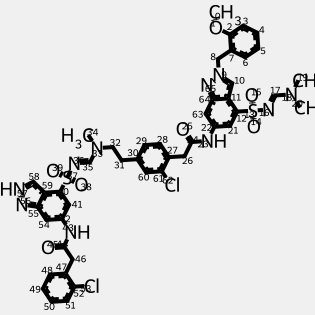 COc1ccccc1Cn1cc2c(S(=O)(=O)/N=C/N(C)C)cc(NC(=O)Cc3ccc(CCN(C)/C=N/S(=O)(=O)c4cc(NC(=O)Cc5ccccc5Cl)cc5n[nH]cc45)cc3Cl)cc2n1